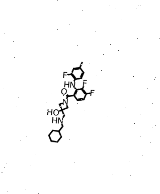 Cc1ccc(Nc2c(C(=O)N3CC(O)(CNCC4CCCCC4)C3)ccc(F)c2F)c(F)c1